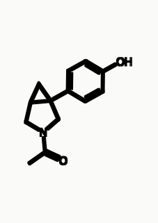 CC(=O)N1CC2CC2(c2ccc(O)cc2)C1